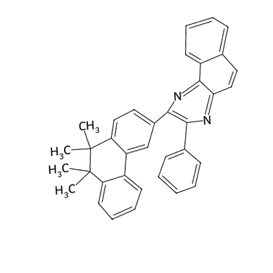 CC1(C)c2ccccc2-c2cc(-c3nc4c(ccc5ccccc54)nc3-c3ccccc3)ccc2C1(C)C